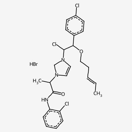 Br.CC=CCCOC(c1ccc(Cl)cc1)C(Cl)N1C=CN(C(C)C(=O)Nc2ccccc2Cl)C1